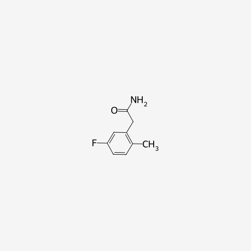 Cc1ccc(F)cc1CC(N)=O